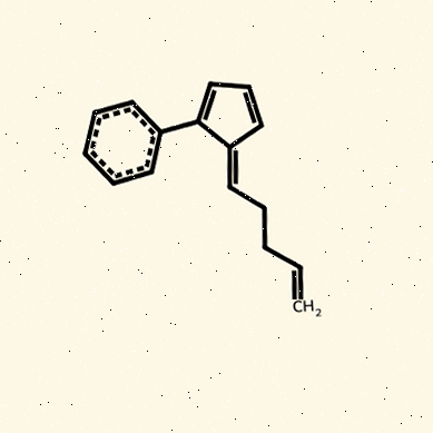 C=CCCC=C1C=CC=C1c1ccccc1